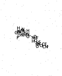 Cn1ncnc1[C@H]1c2n[nH]c(=O)c3cc(F)cc(c23)N[C@@H]1c1ccc(NC(=O)CCCNC(=O)c2ccc(N3C(=S)N(c4ccc(C#N)c(C(F)(F)F)c4)C(=O)C3(C)C)cc2F)cc1